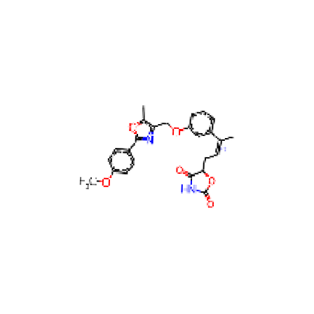 C/C(=C/CC1OC(=O)NC1=O)c1cccc(OCc2nc(-c3ccc(OC(F)(F)F)cc3)oc2C)c1